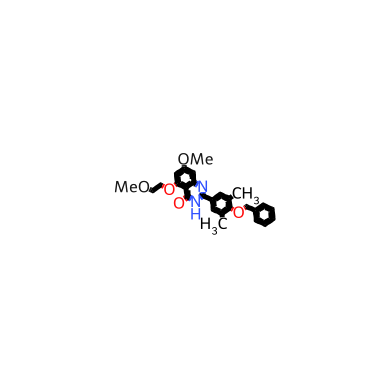 COCCOc1cc(OC)cc2nc(-c3cc(C)c(OCc4ccccc4)c(C)c3)[nH]c(=O)c12